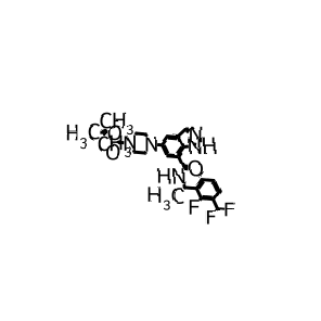 C[C@@H](NC(=O)c1cc(N2CCN(C(=O)OC(C)(C)C)CC2)cc2cn[nH]c12)c1cccc(C(F)F)c1F